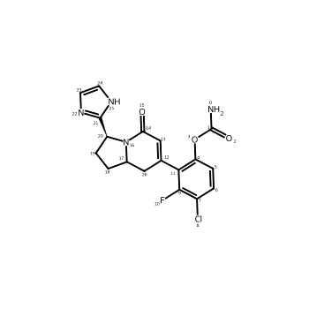 NC(=O)Oc1ccc(Cl)c(F)c1C1=CC(=O)N2C(CC[C@H]2c2ncc[nH]2)C1